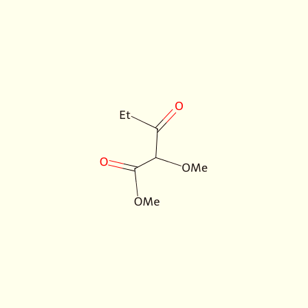 CCC(=O)C(OC)C(=O)OC